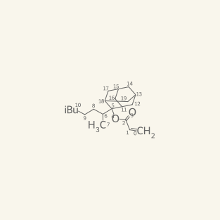 C=CC(=O)OC1(C(C)CCC(C)CC)C2CC3CC(C2)CC1C3